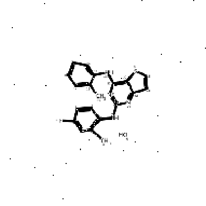 Cc1cc(F)ccc1Nc1nc(Nc2ccccc2C)c2sccc2n1.Cl